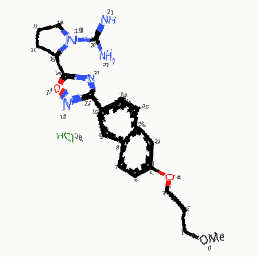 COCCCOc1ccc2cc(-c3noc(C4CCCN4C(=N)N)n3)ccc2c1.Cl